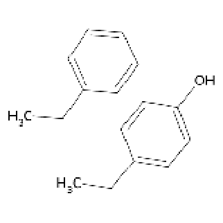 CCc1ccc(O)cc1.CCc1ccccc1